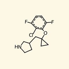 Fc1ccc(F)c(OC2(CC3CCNC3)CC2)c1Cl